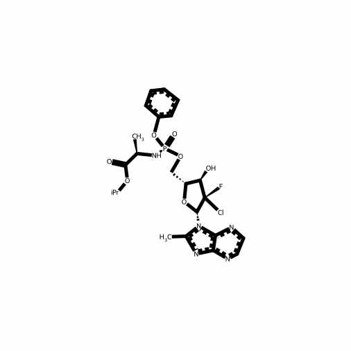 Cc1nc2nccnc2n1[C@@H]1O[C@H](CO[P@@](=O)(N[C@H](C)C(=O)OC(C)C)Oc2ccccc2)[C@@H](O)[C@]1(F)Cl